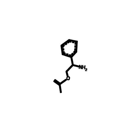 C=C(C)OCC(N)c1ccccc1